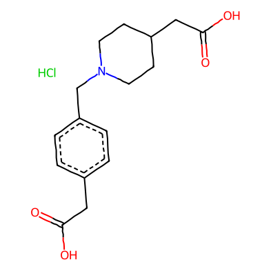 Cl.O=C(O)Cc1ccc(CN2CCC(CC(=O)O)CC2)cc1